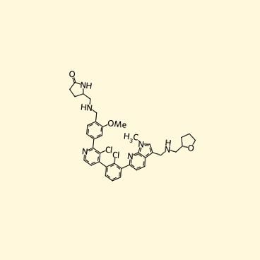 COc1cc(-c2nccc(-c3cccc(-c4ccc5c(CNCC6CCCO6)cn(C)c5n4)c3Cl)c2Cl)ccc1CNCC1CCC(=O)N1